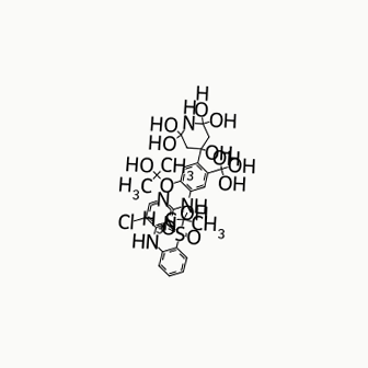 CC(C)(O)Oc1cc(C2(O)CC(O)(O)NC(O)(O)C2)c(C(O)(O)O)cc1Nc1ncc(Cl)c(Nc2ccccc2S(=O)(=O)C(C)(C)O)n1